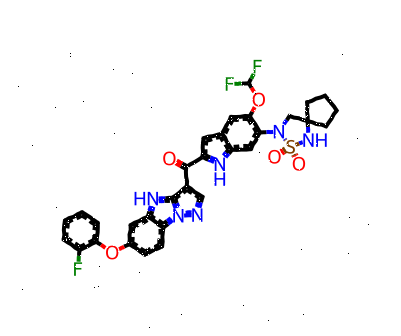 O=C(c1cc2cc(OC(F)F)c(N3CC4(CCCC4)NS3(=O)=O)cc2[nH]1)c1cnn2c1[nH]c1cc(Oc3ccccc3F)ccc12